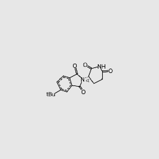 CC(C)(C)c1ccc2c(c1)C(=O)N([C@H]1CCC(=O)NC1=O)C2=O